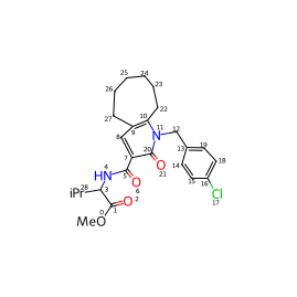 COC(=O)C(NC(=O)c1cc2c(n(Cc3ccc(Cl)cc3)c1=O)CCCCCC2)C(C)C